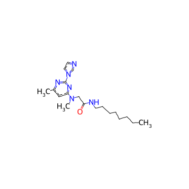 CCCCCCCCNC(=O)CN(C)c1cc(C)nc(-n2ccnc2)n1